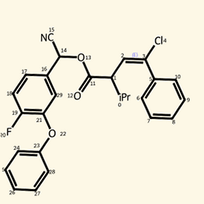 CC(C)C(/C=C(/Cl)c1ccccc1)C(=O)OC(C#N)c1ccc(F)c(Oc2ccccc2)c1